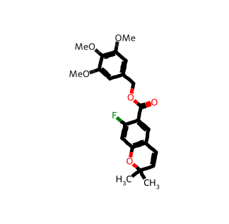 COc1cc(COC(=O)c2cc3c(cc2F)OC(C)(C)C=C3)cc(OC)c1OC